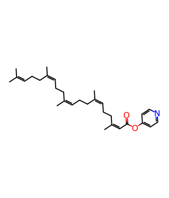 CC(C)=CCCC(C)=CCCC(C)=CCCC(C)=CCCC(C)=CC(=O)Oc1ccncc1